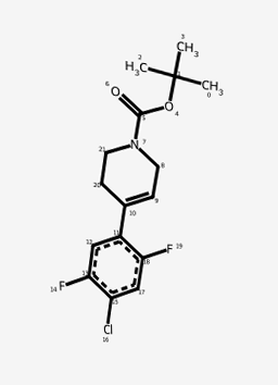 CC(C)(C)OC(=O)N1CC=C(c2cc(F)c(Cl)cc2F)CC1